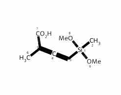 CO[Si](C)(C=C=C(C)C(=O)O)OC